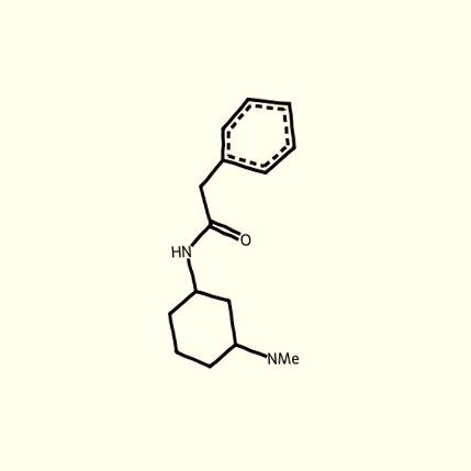 CNC1CCCC(NC(=O)Cc2ccccc2)C1